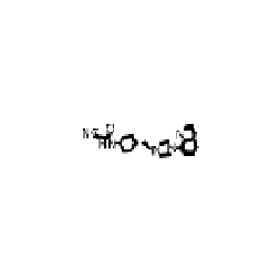 N#CCC(=O)N[C@H]1CC[C@H](CCN2CCN(c3cccc4cccnc34)CC2)CC1